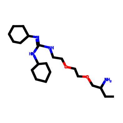 CCC(N)COCCOCCNC(=NC1CCCCC1)NC1CCCCC1